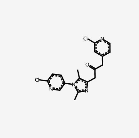 Cc1nc(CC(=O)Cc2ccnc(Cl)c2)c(C)n1-c1ccc(Cl)nc1